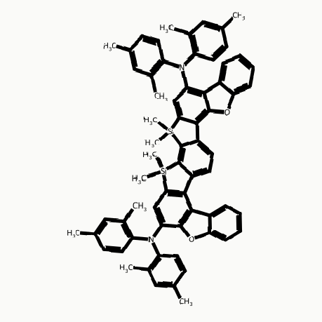 Cc1ccc(N(c2ccc(C)cc2C)c2cc3c(c4c2oc2ccccc24)-c2ccc4c(c2[Si]3(C)C)[Si](C)(C)c2cc(N(c3ccc(C)cc3C)c3ccc(C)cc3C)c3c(oc5ccccc53)c2-4)c(C)c1